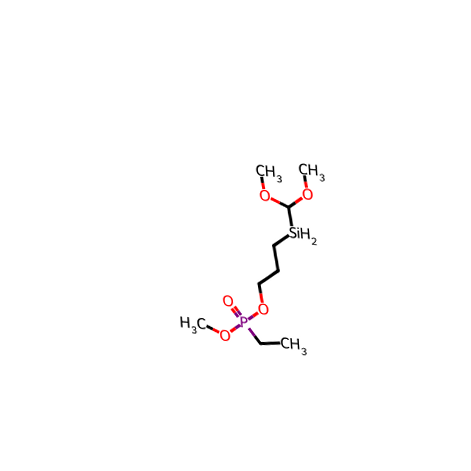 CCP(=O)(OC)OCCC[SiH2]C(OC)OC